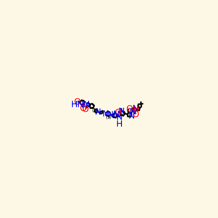 C[C@H]1CN(C2CC(N3CC[C@@H](c4ccc5c(c4)C(=O)N(C4CCC(=O)NC4=O)C5)C3)C2)CCN1c1ccc(Nc2cc(-c3ccnc(N4CCn5c(cc6c5CC(C)(C)C6)C4=O)c3CO)cn(C)c2=O)nc1